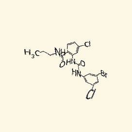 CCCNC(=O)c1ccc(Cl)cc1NC(=O)Nc1cc(Cl)cc(Br)c1